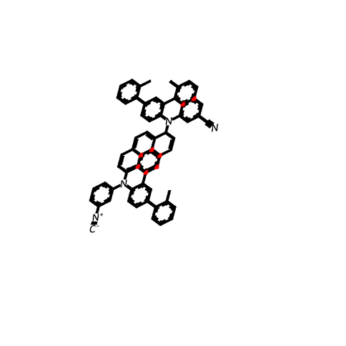 [C-]#[N+]c1cccc(N(C2=C3C=CC4=C5C(=CC=C(C=C2)C35)C(N(c2cccc(C#N)c2)c2ccc(-c3ccccc3C)cc2-c2ccccc2C)C=C4)c2ccc(-c3ccccc3C)cc2-c2ccccc2C)c1